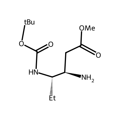 CC[C@H](NC(=O)OC(C)(C)C)[C@H](N)CC(=O)OC